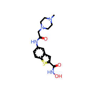 CN1CCN(CC(=O)Nc2ccc3sc(C(=O)NO)cc3c2)CC1